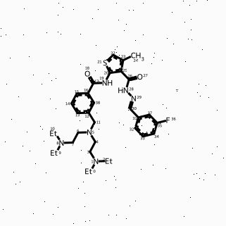 CCN(CC)CCN(CCN(CC)CC)Cc1cccc(C(=O)Nc2scc(C)c2C(=O)NN=Cc2cccc(F)c2)c1